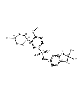 COc1ccc(S(=O)(=O)Nc2ccc3c(c2)OC(F)(F)O3)cc1N1CCN(I)CC1